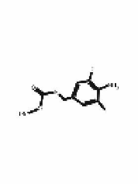 CC(C)(C)OC(=O)NCc1cc(F)c(N)c(I)c1